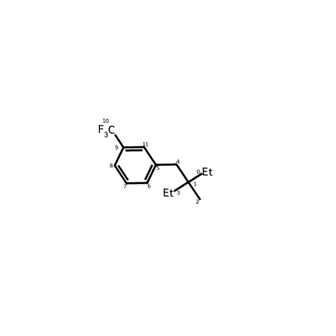 CCC(C)(CC)Cc1cccc(C(F)(F)F)c1